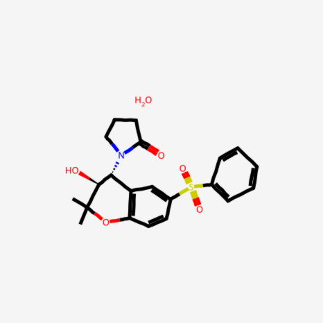 CC1(C)Oc2ccc(S(=O)(=O)c3ccccc3)cc2[C@@H](N2CCCC2=O)[C@@H]1O.O